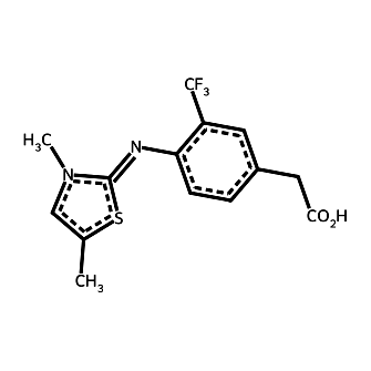 Cc1cn(C)/c(=N/c2ccc(CC(=O)O)cc2C(F)(F)F)s1